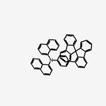 c1ccc2c(c1)-c1ccccc1C21c2ccccc2-c2cccc(-c3ccc(N(c4cccc5ccccc45)c4cccc5ccccc45)cc3)c21